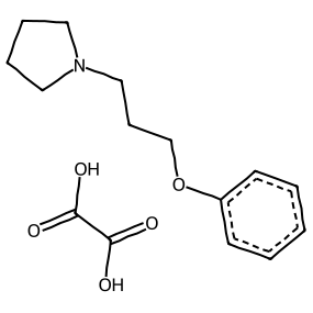 O=C(O)C(=O)O.c1ccc(OCCCN2CCCC2)cc1